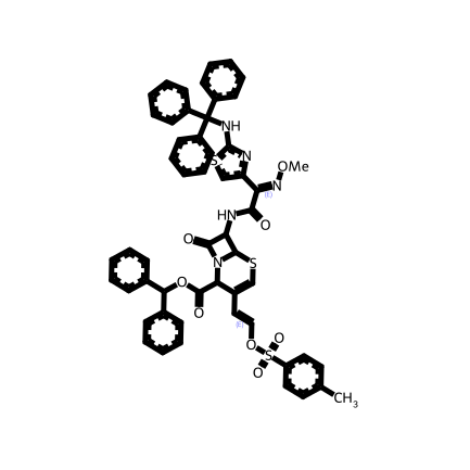 CO/N=C(/C(=O)NC1C(=O)N2C(C(=O)OC(c3ccccc3)c3ccccc3)C(/C=C/OS(=O)(=O)c3ccc(C)cc3)=CSC12)c1csc(NC(c2ccccc2)(c2ccccc2)c2ccccc2)n1